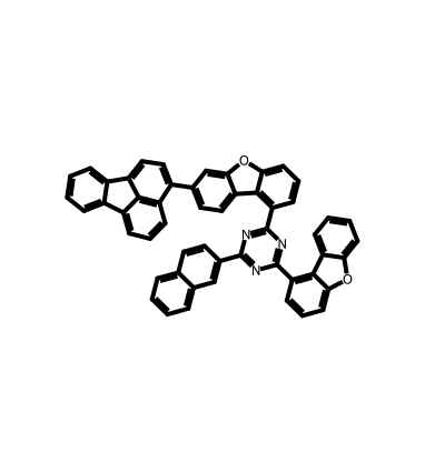 c1ccc2c(c1)-c1cccc3c(-c4ccc5c(c4)oc4cccc(-c6nc(-c7ccc8ccccc8c7)nc(-c7cccc8oc9ccccc9c78)n6)c45)ccc-2c13